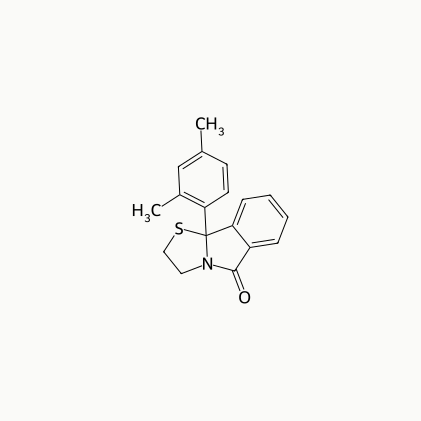 Cc1ccc(C23SCCN2C(=O)c2ccccc23)c(C)c1